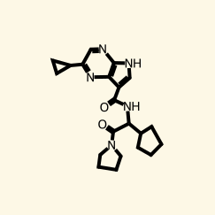 O=C(NC(C(=O)N1CCCC1)C1CCCC1)c1c[nH]c2ncc(C3CC3)nc12